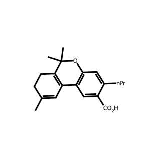 CCCc1cc2c(cc1C(=O)O)C1=C(CCC(C)=C1)C(C)(C)O2